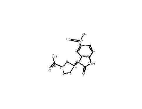 O=C1Nc2ccc([N+](=O)[O-])cc2/C1=C1/CCN(C(=O)O)C1